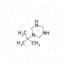 CC(C)(C)N1CNCNC1